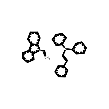 C(=CN(c1ccccc1)c1ccccc1)c1ccccc1.C=Cn1c2ccccc2c2ccccc21